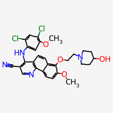 COc1cc(Nc2c(C#N)cnc3c2ccc2c(OCCN4CCC(O)CC4)c(OC)ccc23)c(Cl)cc1Cl